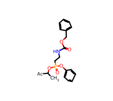 CC(=O)C(C)OP(=O)(CCNC(=O)OCc1ccccc1)Oc1ccccc1